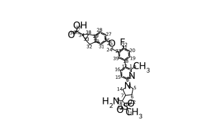 Cc1nc(N2CCC(C(N)S(C)(=O)=O)C2)ccc1-c1ccc(F)c(COc2ccc3c(c2)CC2C(C(=O)O)C32)c1